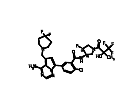 CC(O)(C(=O)N1C[C@H](F)[C@H](NC(=O)c2cc(-c3cc(CN4CCC(F)(F)CC4)c4c(N)ncnn34)ccc2Cl)C1)C(F)(F)F